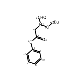 CC(C)(C)ON(C=O)CC(=O)Oc1ccccc1